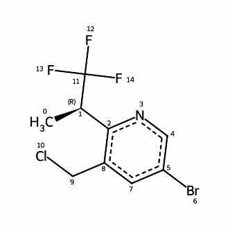 C[C@H](c1ncc(Br)cc1CCl)C(F)(F)F